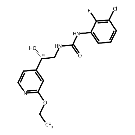 O=C(NC[C@@H](O)c1ccnc(OCC(F)(F)F)c1)Nc1cccc(Cl)c1F